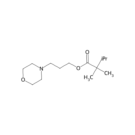 CC(C)C(C)(C)C(=O)OCCCN1CCOCC1